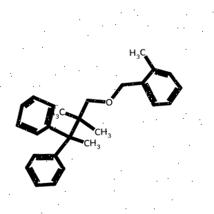 Cc1ccccc1COCC(C)(C)C(C)(c1ccccc1)c1ccccc1